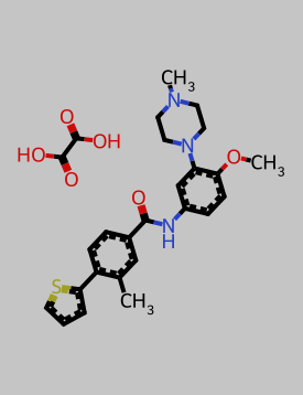 COc1ccc(NC(=O)c2ccc(-c3cccs3)c(C)c2)cc1N1CCN(C)CC1.O=C(O)C(=O)O